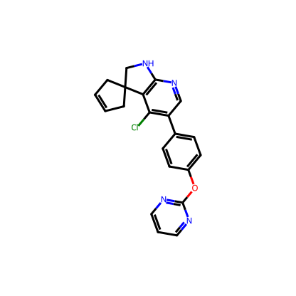 Clc1c(-c2ccc(Oc3ncccn3)cc2)cnc2c1C1(CC=CC1)CN2